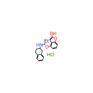 CCC(NC1CCc2ccccc2C1)Oc1cccc2oc(O)cc12.Cl